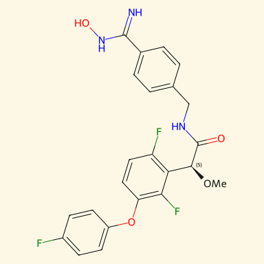 CO[C@H](C(=O)NCc1ccc(C(=N)NO)cc1)c1c(F)ccc(Oc2ccc(F)cc2)c1F